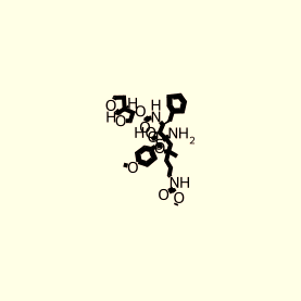 COC(=O)NCCCC(C)(C)CC(N)([C@H](O)[C@H](Cc1ccccc1)NC(=O)O[C@@H]1CO[C@@H]2OCC[C@@H]21)S(=O)(=O)c1ccc(OC)cc1